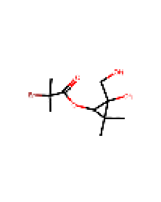 CC(C)(Br)C(=O)OC1C(C)(C)C1(O)CO